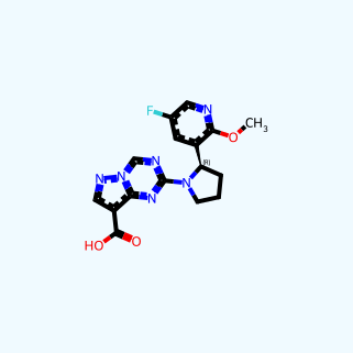 COc1ncc(F)cc1[C@H]1CCCN1c1ncn2ncc(C(=O)O)c2n1